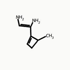 CC1CC=C1/C(N)=C/N